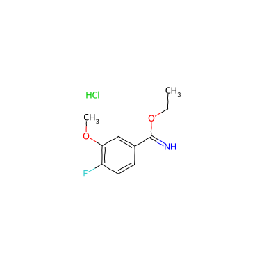 CCOC(=N)c1ccc(F)c(OC)c1.Cl